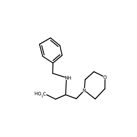 O=C(O)CC(CN1CCOCC1)NCc1ccccc1